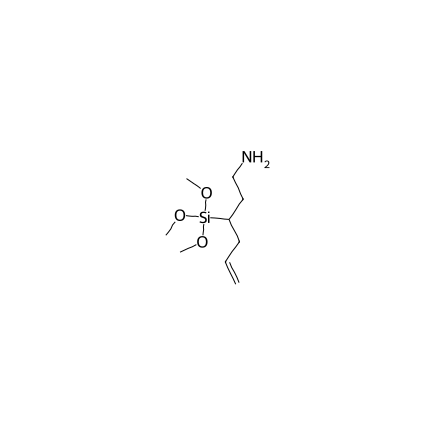 C=CCC(CCN)[Si](OC)(OC)OC